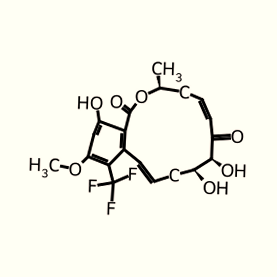 COc1cc(O)c2c(c1C(F)(F)F)/C=C/C[C@H](O)[C@H](O)C(=O)/C=C\C[C@H](C)OC2=O